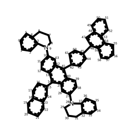 c1ccc2c(c1)CCCN2c1ccc2c(-c3ccc4ccccc4c3)c3cc(N4CCCc5ccccc54)ccc3c(-c3ccc(-c4cc5ccccc5c5ccccc45)cc3)c2c1